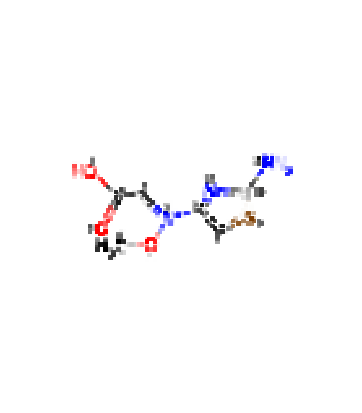 CO[N+](=CC(=O)O)c1csc(N)n1